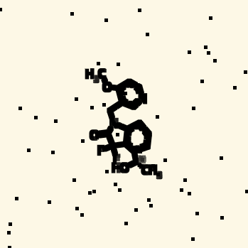 COc1ccncc1CN1C(=O)C(F)(F)c2c([C@H](C)O)cccc21